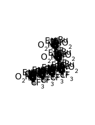 CCCCN(CC)c1c([N+](=O)[O-])cc(C(F)(F)F)cc1[N+](=O)[O-].CCCCN(CC)c1c([N+](=O)[O-])cc(C(F)(F)F)cc1[N+](=O)[O-].CCCCN(CC)c1c([N+](=O)[O-])cc(C(F)(F)F)cc1[N+](=O)[O-].CCCCN(CC)c1c([N+](=O)[O-])cc(C(F)(F)F)cc1[N+](=O)[O-].CCCCN(CC)c1c([N+](=O)[O-])cc(C(F)(F)F)cc1[N+](=O)[O-].CCCCN(CC)c1c([N+](=O)[O-])cc(C(F)(F)F)cc1[N+](=O)[O-]